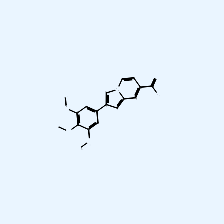 COc1cc(-c2cc3cc(C(N)=O)ccn3c2)cc(OC)c1OC